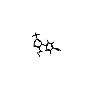 COC(=O)C1=CCC(C(C)(C)C)=CC1c1c(F)c(F)c(C#N)c(F)c1F